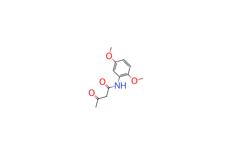 COc1ccc(OC)c(NC(=O)CC(C)=O)c1